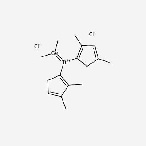 CC1=CC(C)=[C]([Ti+2]([C]2=C(C)C(C)=CC2)=[Ge]([CH3])[CH3])C1.[Cl-].[Cl-]